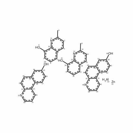 Cc1ccc2cccc(O)c2n1.Cc1ccc2cccc(O)c2n1.Oc1ccc2c(ccc3ncccc32)c1.Oc1ccc2c(ccc3ncccc32)c1.[AlH3].[Zn]